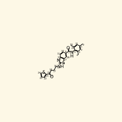 Cc1cc(C)c(NC(=O)c2ccc3nc(NCCCC(=O)c4cccs4)sc3c2)c(C)c1